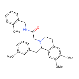 COc1cccc(CC2c3cc(OC)c(OC)cc3CCN2CC(=O)NCc2ccccc2OC)c1